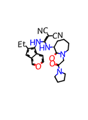 CCc1cc2coccc-2c1NC(N[C@H]1CCCCN(CC(=O)N2CCCC2)C1=O)=C(C#N)C#N